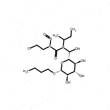 CCCCO[C@@H]1O[C@H](C(O)N(C(=O)N(CCCl)N=O)C(C)CC)[C@@H](O)[C@H](O)[C@H]1O